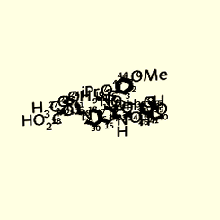 COc1ccc(S(=O)(=O)N(CC(C)C)C[C@@H](O)[C@H](CC2=CCN(CCP(=O)(O)O[C@@H](C)C(=O)O)CC2)NC(=O)O[C@H]2CO[C@H]3OCC[C@H]32)cc1